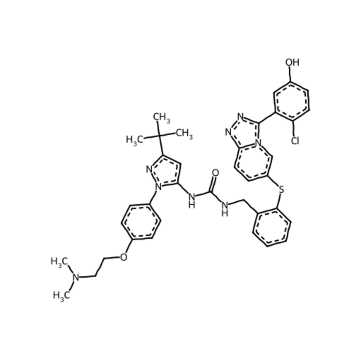 CN(C)CCOc1ccc(-n2nc(C(C)(C)C)cc2NC(=O)NCc2ccccc2Sc2ccc3nnc(-c4cc(O)ccc4Cl)n3c2)cc1